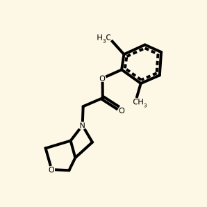 Cc1cccc(C)c1OC(=O)CN1CC2COCC21